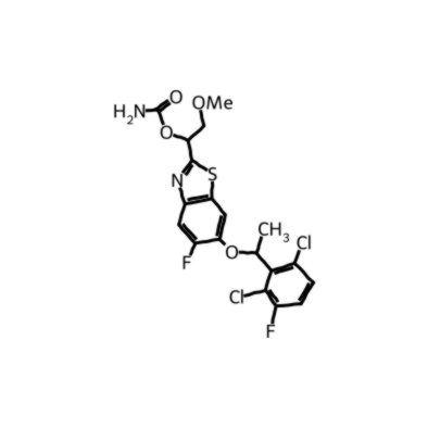 COCC(OC(N)=O)c1nc2cc(F)c(OC(C)c3c(Cl)ccc(F)c3Cl)cc2s1